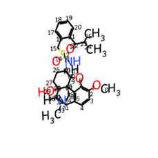 COc1ccc2c3c1O[C@H]1[C@H](NS(=O)(=O)Cc4ccccc4CC(C)C)CC[C@@]4(O)[C@@H](C2)N(C)CC[C@]314